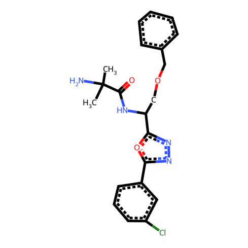 CC(C)(N)C(=O)NC(COCc1ccccc1)c1nnc(-c2cccc(Cl)c2)o1